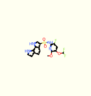 COc1nc(NS(=O)(=O)c2c[nH]c3c2ccc2cc[nH]c23)c(F)cc1OC(F)F